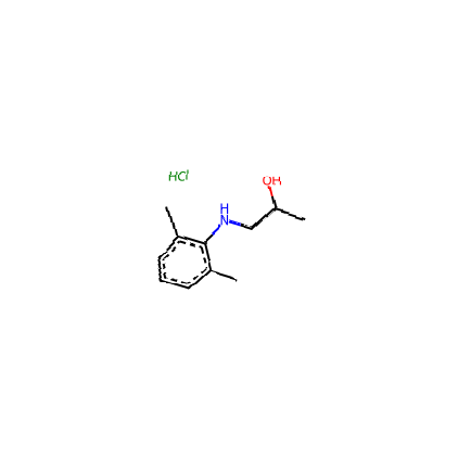 Cc1cccc(C)c1NCC(C)O.Cl